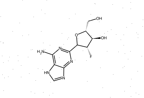 Nc1nc(C2O[C@H](CO)[C@@H](O)[C@@H]2F)nc2nc[nH]c12